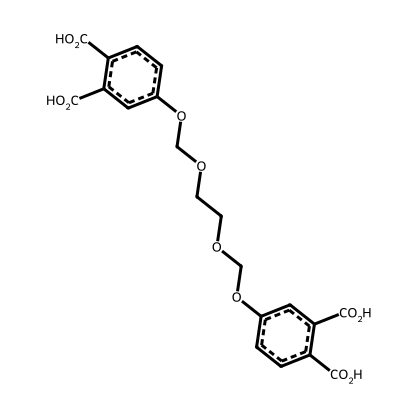 O=C(O)c1ccc(OCOCCOCOc2ccc(C(=O)O)c(C(=O)O)c2)cc1C(=O)O